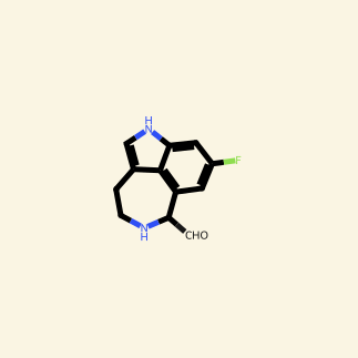 O=CC1NCCc2c[nH]c3cc(F)cc1c23